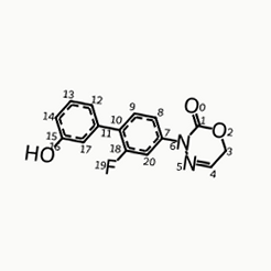 O=C1OCC=NN1c1ccc(-c2cccc(O)c2)c(F)c1